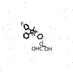 Cc1c(-c2ccc(F)cc2)c(-c2ccccc2)nn1C[C@H]1CC[C@@H](COC(C=O)CO)CC1